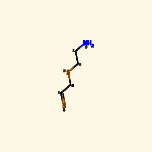 NCCSCC=S